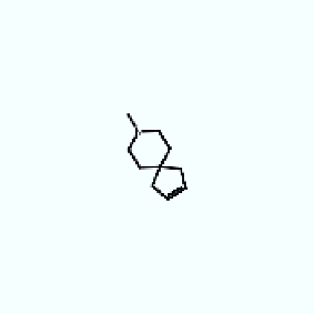 CN1CCC2(CC=CC2)CC1